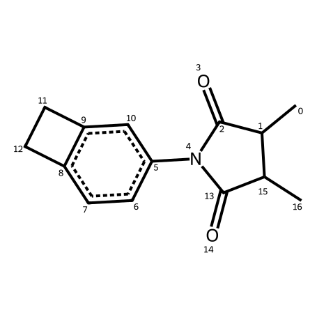 CC1C(=O)N(c2ccc3c(c2)CC3)C(=O)C1C